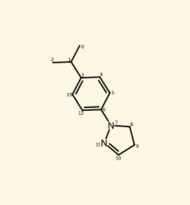 CC(C)c1ccc(N2CCC=N2)cc1